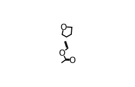 C1CCOC1.C=COC(C)=O